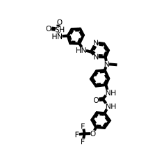 CN(c1cccc(NC(=O)Nc2ccc(OC(F)(F)F)cc2)c1)c1ccnc(Nc2cccc(N[SH](=O)=O)c2)n1